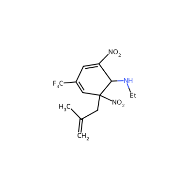 C=C(C)CC1([N+](=O)[O-])C=C(C(F)(F)F)C=C([N+](=O)[O-])C1NCC